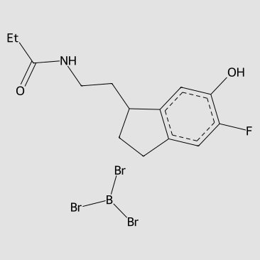 BrB(Br)Br.CCC(=O)NCCC1CCc2cc(F)c(O)cc21